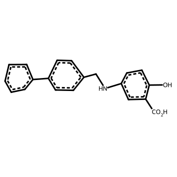 O=C(O)c1cc(NCc2ccc(-c3ccccc3)cc2)ccc1O